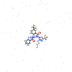 CCCCn1nc(C(C)(C)C)sc1=NC(=O)c1cc(C(F)(F)F)ccc1NNC(=O)c1ccncc1